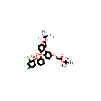 CC(C)(C)OC(=O)COc1ccc(S(OS(=O)(=O)c2ccc(F)cc2F)(c2ccccc2)c2ccccc2)c(OCC(=O)OC(C)(C)C)c1